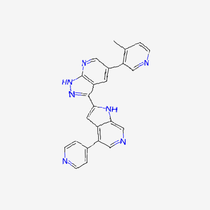 Cc1ccncc1-c1cnc2[nH]nc(-c3cc4c(-c5ccncc5)cncc4[nH]3)c2c1